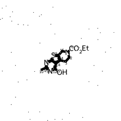 CCOC(=O)N1CCc2c(sc3nc(C)nc(O)c23)C1